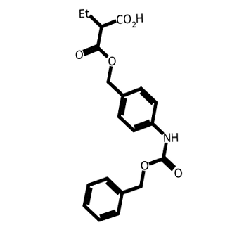 CCC(C(=O)O)C(=O)OCc1ccc(NC(=O)OCc2ccccc2)cc1